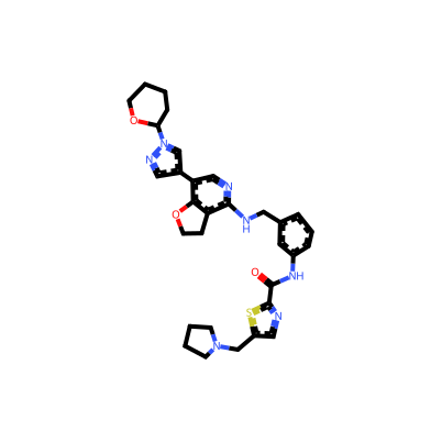 O=C(Nc1cccc(CNc2ncc(-c3cnn(C4CCCCO4)c3)c3c2CCO3)c1)c1ncc(CN2CCCC2)s1